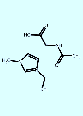 CC(=O)NCC(=O)O.CC[n+]1ccn(C)c1